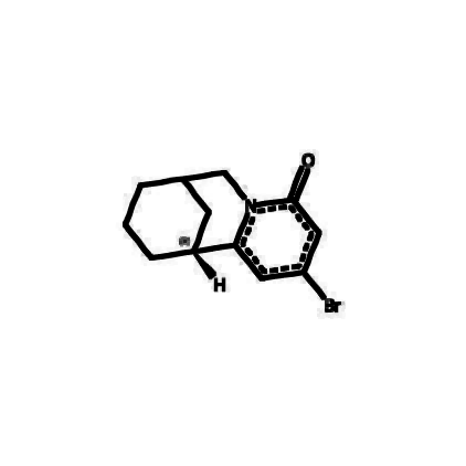 O=c1cc(Br)cc2n1CC1CCC[C@@H]2C1